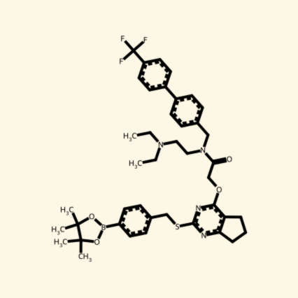 CCN(CC)CCN(Cc1ccc(-c2ccc(C(F)(F)F)cc2)cc1)C(=O)COc1nc(SCc2ccc(B3OC(C)(C)C(C)(C)O3)cc2)nc2c1CCC2